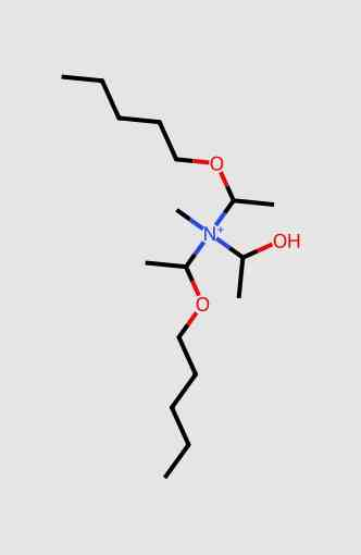 CCCCCOC(C)[N+](C)(C(C)O)C(C)OCCCCC